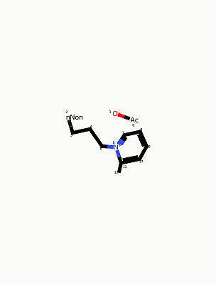 CC(=O)[O-].CCCCCCCCCCCC[n+]1ccccc1C